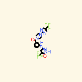 O=C(c1cccc(Nc2cc(C(F)(F)F)c(=O)[nH]n2)c1)N1CCN(c2ncc(C(F)(F)F)cn2)CC1